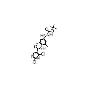 Cc1cc(NNC(=O)OC(C)(C)C)cc(C)c1NC(=O)c1cnc(Cl)nc1Cl